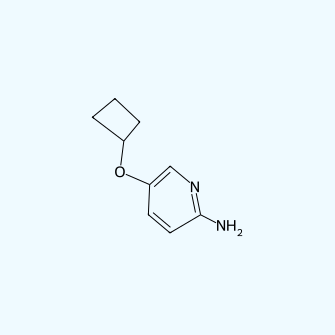 Nc1ccc(OC2CCC2)cn1